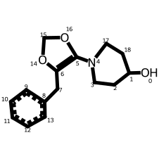 OC1CCN(C2=C(Cc3ccccc3)OCO2)CC1